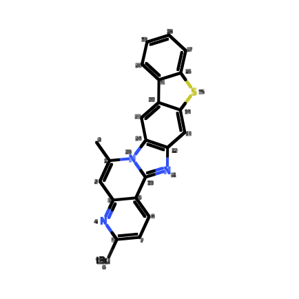 Cc1cc2nc(C(C)(C)C)ccc2c2nc3cc4sc5ccccc5c4cc3n12